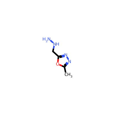 Cc1nnc(CNN)o1